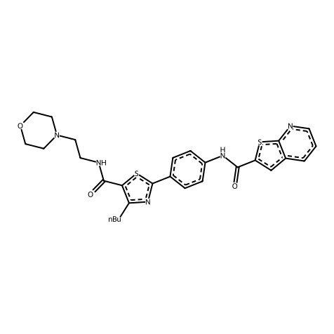 CCCCc1nc(-c2ccc(NC(=O)c3cc4cccnc4s3)cc2)sc1C(=O)NCCN1CCOCC1